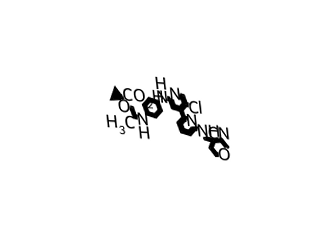 C[C@H](COC1(C(=O)O)CC1)N[C@H]1CC[C@H](Nc2cc(-c3cccc(NCC4(C#N)CCOCC4)n3)c(Cl)cn2)CC1